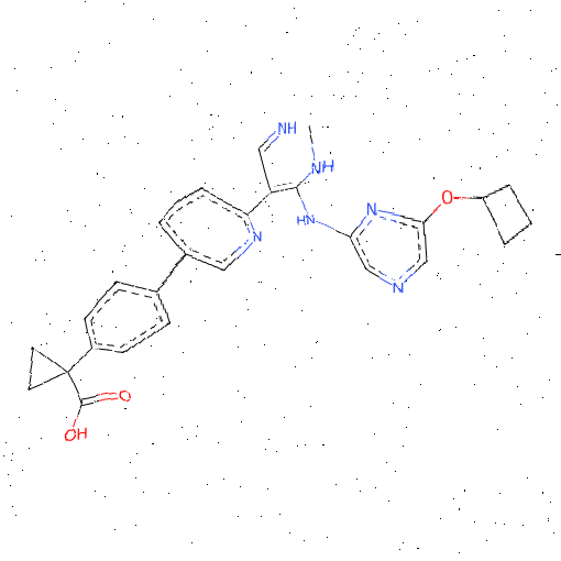 CN/C(Nc1cncc(OC2CCC2)n1)=C(\C=N)c1ccc(-c2ccc(C3(C(=O)O)CC3)cc2)cn1